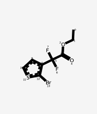 CCOC(=O)C(F)(F)c1ccsc1Br